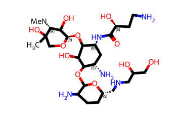 CN[C@@H]1C(O)[C@@H](OC2C(O)C(OC3O[C@H](CNCC(O)CO)CCC3N)[C@@H](N)C[C@H]2NC(=O)[C@@H](O)CCN)OCC1(C)O